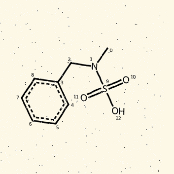 CN([CH]c1ccccc1)S(=O)(=O)O